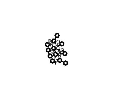 COc1ccccc1-c1nc2c(N(c3ccc(-c4ccccc4)cc3)c3ccccc3F)cc3c(c2o1)-c1c(cc(N(c2ccc(-c4ccccc4)cc2)c2ccccc2F)c2nc(-c4ccccc4OC)oc12)[Si]31c2ccccc2-c2ccccc21